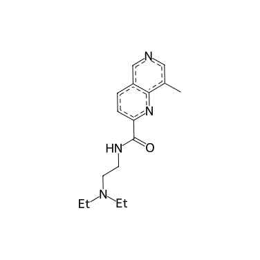 CCN(CC)CCNC(=O)c1ccc2cncc(C)c2n1